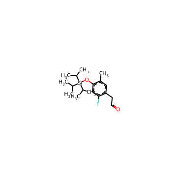 Cc1cc(CC=O)c(F)cc1O[Si](C(C)C)(C(C)C)C(C)C